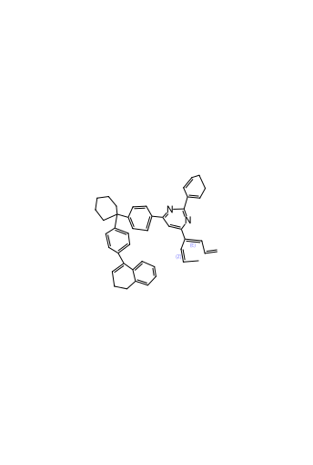 C=C/C=C(\C=C/C)c1cc(-c2ccc(C3(c4ccc(C5=CCCc6ccccc65)cc4)CCCCC3)cc2)nc(C2=CCCC=C2)n1